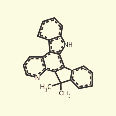 CC1(C)c2ccccc2-c2c1c1ncccc1c1c2[nH]c2ccccc21